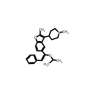 Cc1oc2ccc(/C(=C\c3ccccc3)OC(C)C)cc2c1C1CCN(C)CC1